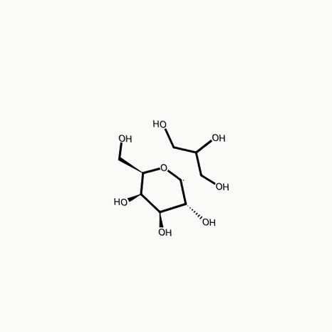 OCC(O)CO.OC[C@H]1O[CH][C@H](O)[C@@H](O)[C@H]1O